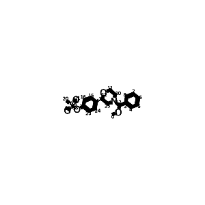 COC(c1ccccc1)N1CCO[C@@H](c2ccc(OS(C)(=O)=O)cc2)C1